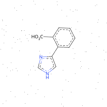 O=C(O)c1ccccc1-c1c[nH]cn1